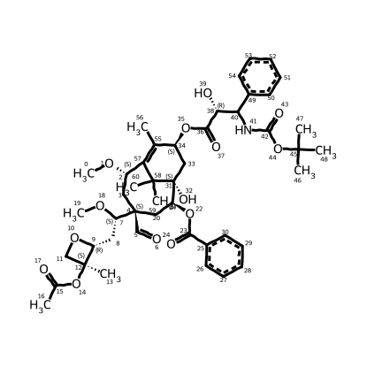 CO[C@H]1C[C@@](C=O)([C@H](C[C@H]2OC[C@]2(C)OC(C)=O)OC)C[C@H](OC(=O)c2ccccc2)[C@]2(O)C[C@H](OC(=O)[C@H](O)C(NC(=O)OC(C)(C)C)c3ccccc3)C(C)=C1C2(C)C